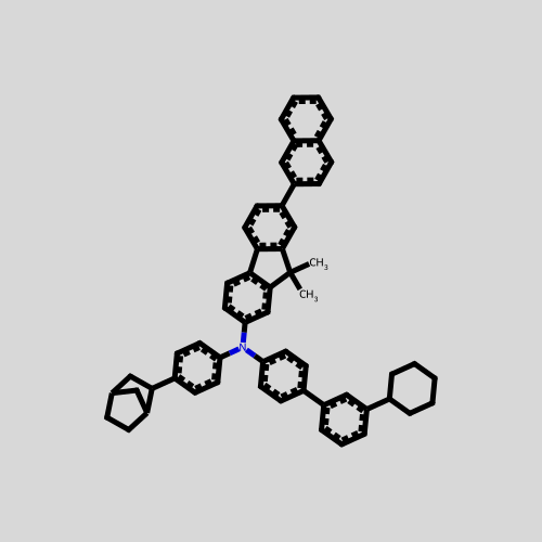 CC1(C)c2cc(-c3ccc4ccccc4c3)ccc2-c2ccc(N(c3ccc(-c4cccc(C5CCCCC5)c4)cc3)c3ccc(C4CC5CCC4C5)cc3)cc21